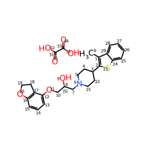 Cc1c(C2CCN(C[C@H](O)COc3cccc4c3CCO4)CC2)sc2ccccc12.O=C(O)C(=O)O